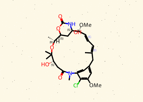 COc1cc2cc(c1Cl)N(C)C(=O)C[C@H](O)C(C)(C)O[C@H](C)[C@@H]1C[C@@](O)(NC(=O)O1)[C@H](OC)/C=C/C=C(\C)C2